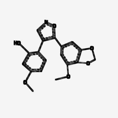 COc1ccc(-c2cnoc2-c2cc(OC)c3c(c2)OCO3)c(O)c1